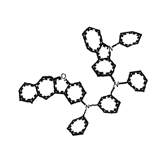 c1ccc(N(c2cccc(N(c3ccccc3)c3ccc4c5ccccc5n(-c5ccccc5)c4c3)c2)c2ccc3oc4cc5ccccc5cc4c3c2)cc1